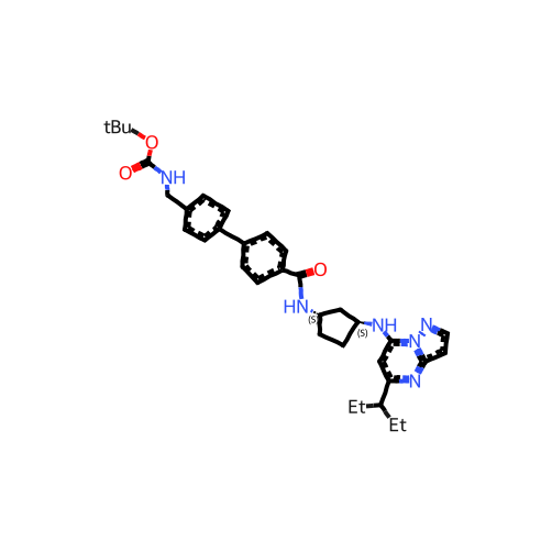 CCC(CC)c1cc(N[C@H]2CC[C@H](NC(=O)c3ccc(-c4ccc(CNC(=O)OC(C)(C)C)cc4)cc3)C2)n2nccc2n1